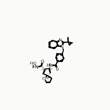 CC1(c2nc3ccccc3n2Cc2ccc(C(=O)N[C@@H]3C[C@@]4(CCCO4)C[C@@H]3C(=O)NO)cc2)CC1